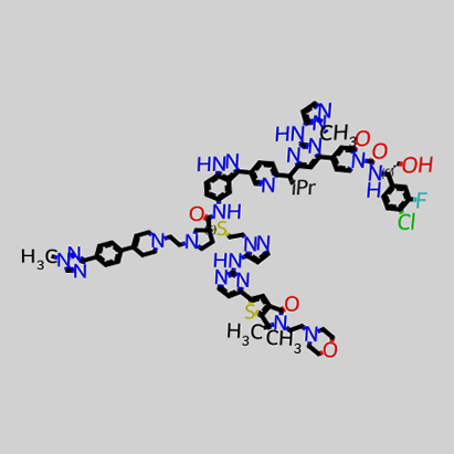 CC(C)C(c1ccc(-c2n[nH]c3ccc(NC(=O)[C@]4(SCCn5nccc5Nc5nccc(-c6cc7c(s6)C(C)(C)N(CCN6CCOCC6)C7=O)n5)CCN(CCN5CC=C(c6ccc(-c7ncn(C)n7)cc6)CC5)C4)cc23)cn1)c1cc(-c2ccn(C(=O)N[C@H](CO)c3ccc(Cl)c(F)c3)c(=O)c2)nc(Nc2ccnn2C)n1